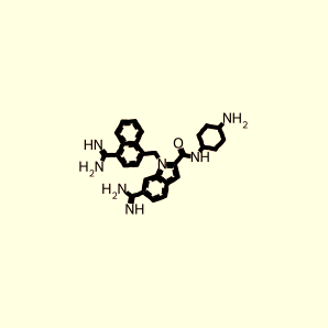 N=C(N)c1ccc2cc(C(=O)NC3CCC(N)CC3)n(Cc3ccc(C(=N)N)c4ccccc34)c2c1